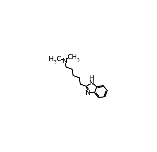 CN(C)CCCCCc1nc2ccccc2[nH]1